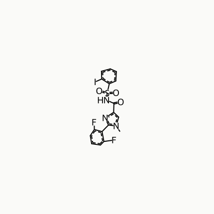 Cn1cc(C(=O)NS(=O)(=O)c2ccccc2I)nc1-c1c(F)cccc1F